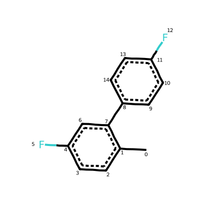 Cc1ccc(F)cc1-c1ccc(F)cc1